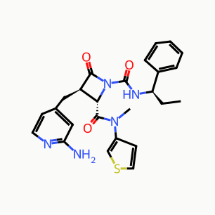 CC[C@@H](NC(=O)N1C(=O)[C@H](Cc2ccnc(N)c2)[C@H]1C(=O)N(C)c1ccsc1)c1ccccc1